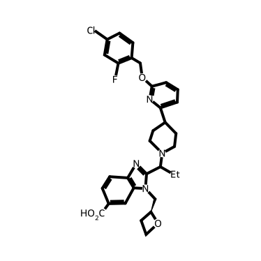 CCC(c1nc2ccc(C(=O)O)cc2n1C[C@@H]1CCO1)N1CCC(c2cccc(OCc3ccc(Cl)cc3F)n2)CC1